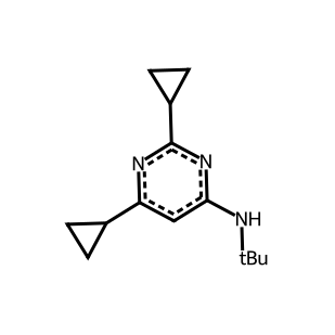 CC(C)(C)Nc1cc(C2CC2)nc(C2CC2)n1